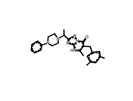 Cc1cc(C)cc(Cc2c(C)[nH]c3nc(C(C)N4CCN(c5ccccc5)CC4)nn3c2=O)c1